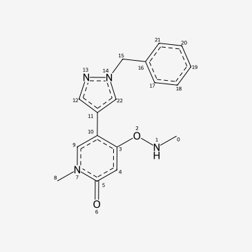 CNOc1cc(=O)n(C)cc1-c1cnn(Cc2ccccc2)c1